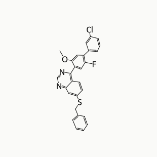 COc1cc(-c2cccc(Cl)c2)c(F)cc1-c1ncnc2cc(SCc3ccccc3)ccc12